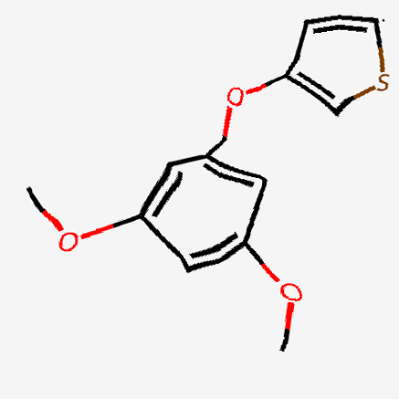 COc1cc(OC)cc(Oc2c[c]sc2)c1